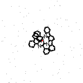 c1ccc(-c2nc3c4ccccc4c4ccccc4c3nc2-n2c3ccccc3c3ccc4c5ccccc5n(-c5cccc6ccccc56)c4c32)cc1